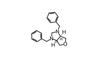 c1ccc(CN2CN(Cc3ccccc3)[C@H]3COC[C@H]32)cc1